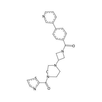 O=C(c1ccc(-c2cccnc2)cc1)N1CC(N2CCN(C(=O)c3nccs3)CC2)C1